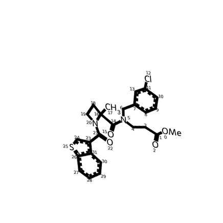 COC(=O)CCN(Cc1cccc(Cl)c1)C(=O)C1(C)CCN1C(=O)c1csc2ccccc12